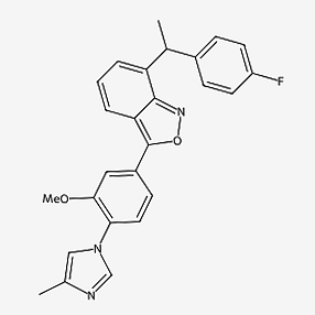 COc1cc(-c2onc3c(C(C)c4ccc(F)cc4)cccc23)ccc1-n1cnc(C)c1